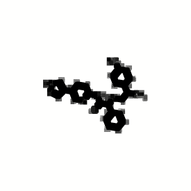 CC(CNC(C(=O)Nc1ccc(-c2cn[nH]c2)cn1)c1ccccc1)c1ccc(C#N)cc1